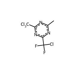 Cc1nc(C(F)(F)Cl)nc(C(Cl)(Cl)Cl)n1